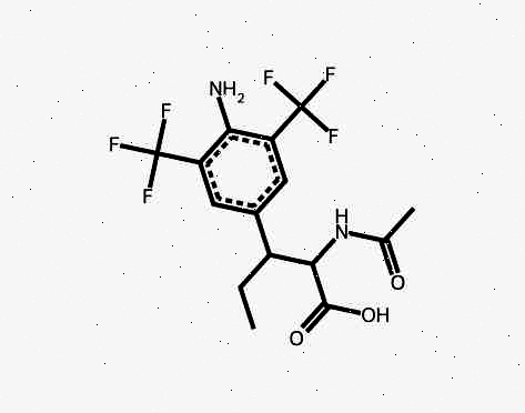 CCC(c1cc(C(F)(F)F)c(N)c(C(F)(F)F)c1)C(NC(C)=O)C(=O)O